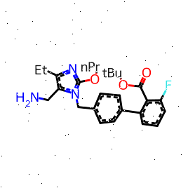 CCCOc1nc(CC)c(CN)n1Cc1ccc(-c2cccc(F)c2C(=O)OC(C)(C)C)cc1